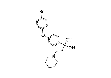 CC(O)(CCN1CCCCC1)c1ccc(Oc2ccc(Br)cc2)cc1